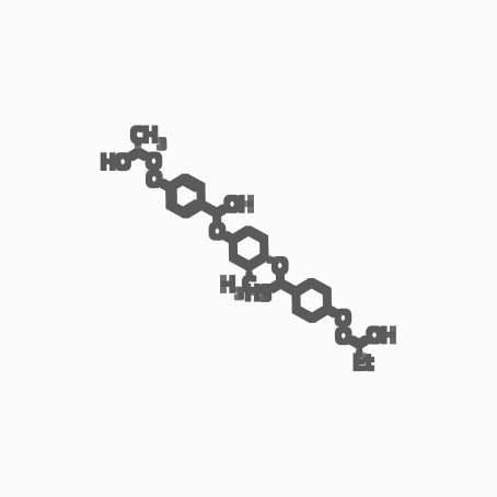 CC[C@@H](O)OOC1CCC(C(S)O[C@H]2CCC(OC(O)c3ccc(OO[C@@H](C)O)cc3)C[C@H]2C)CC1